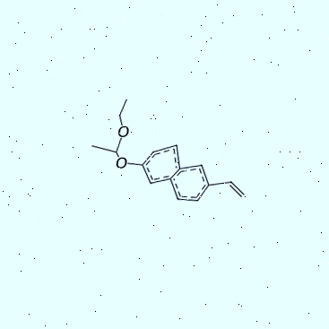 C=Cc1ccc2cc(OC(C)OCC)ccc2c1